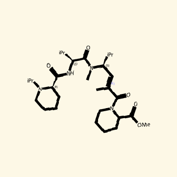 COC(=O)C1CCCCN1C(=O)/C(C)=C/[C@H](C(C)C)N(C)C(=O)[C@@H](NC(=O)[C@H]1CCCCN1C(C)C)C(C)C